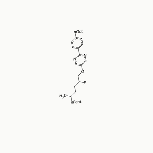 CCCCCCCCc1ccc(-c2ncc(OCC(F)CCC(C)CCCCC)cn2)cc1